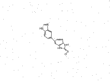 O=S=c1[nH]c2ccc(-c3ccc4[nH]cnc4c3)cc2[nH]1